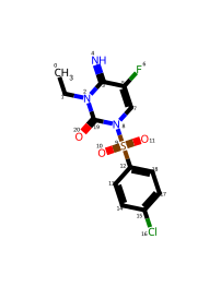 CCn1c(=N)c(F)cn(S(=O)(=O)c2ccc(Cl)cc2)c1=O